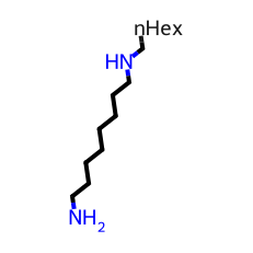 CCCCCCCNCCCCCCCCN